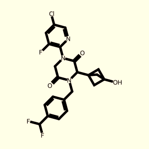 O=C1C(C23CC(O)(C2)C3)N(Cc2ccc(C(F)F)cc2)C(=O)CN1c1ncc(Cl)cc1F